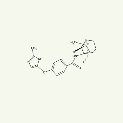 Cc1ncc(Oc2ccc(C(=O)N[C@@H]3C4CCN(CC4)[C@H]3C)cc2)[nH]1